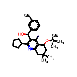 CC1(C)Cc2nc(C3CCCC3)c(C(O)c3cccc(C(C)(C)C)c3)c(I)c2[C@@H](O[Si](C)(C)C(C)(C)C)C1